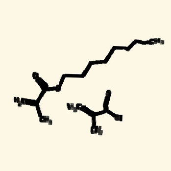 C=C(C)C(=O)O.C=C(C)C(=O)OCCCCCCCC